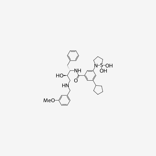 COc1cccc(CNC[C@@H](O)[C@H](Cc2ccccc2)NC(=O)c2cc(C3CCCC3)cc(N3CCCS3(O)O)c2)c1